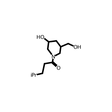 CC(C)CCC(=O)N1CC(O)CC(CO)C1